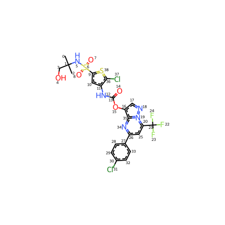 CC(C)(CO)NS(=O)(=O)c1cc(NC(=O)Oc2cnn3c(C(F)(F)F)cc(-c4ccc(Cl)cc4)nc23)c(Cl)s1